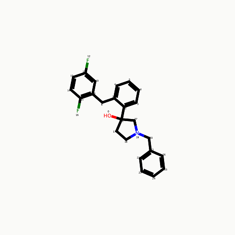 OC1(c2ccccc2Cc2cc(F)ccc2F)CCN(Cc2ccccc2)C1